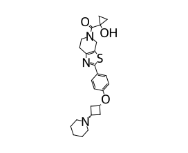 O=C(N1CCc2nc(-c3ccc(O[C@H]4C[C@H](N5CCCCC5)C4)cc3)sc2C1)C1(O)CC1